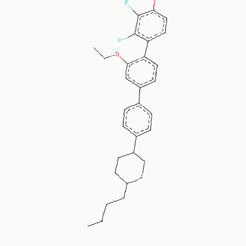 CCCCC1CCC(c2ccc(-c3ccc(-c4ccc(OC)c(F)c4F)c(OCC)c3)cc2)CC1